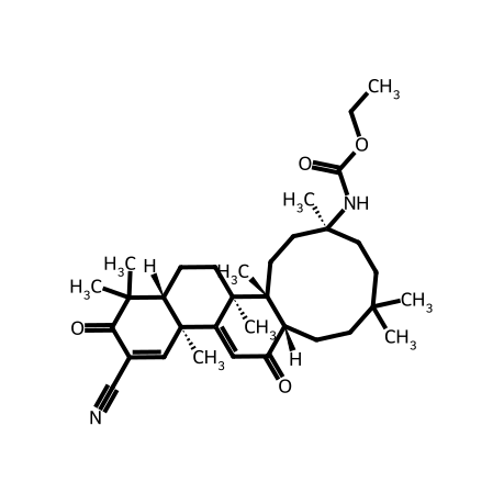 CCOC(=O)N[C@@]1(C)CCC(C)(C)CC[C@@H]2C(=O)C=C3[C@@]4(C)C=C(C#N)C(=O)C(C)(C)[C@@H]4CC[C@@]3(C)[C@]2(C)CC1